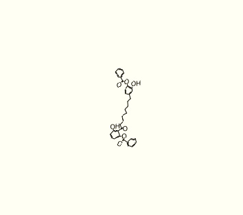 O=C(Oc1ccc(CCCCCCCCC(=O)c2c(O)cccc2OC(=O)c2ccccc2)cc1O)c1ccccc1